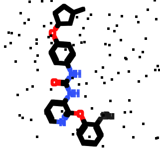 CC1CCC(Oc2ccc(NC(=O)Nc3cccnc3Oc3ccccc3C(C)(C)C)cc2)C1